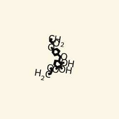 C=CC(=O)Oc1ccc(C(=O)c2ccc(OC(=O)C=C)c(O)c2O)cc1